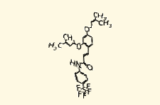 CC(C)=CCOc1ccc(C=CC(=O)Nc2ccc(S(F)(F)(F)(F)F)cc2)c(OCC=C(C)C)c1